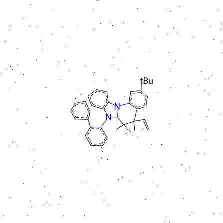 C=CC1(C)c2ccc(C(C)(C)C)cc2N2c3ccccc3N(c3ccccc3-c3ccccc3)C2C1(C)C